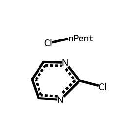 CCCCCCl.Clc1ncccn1